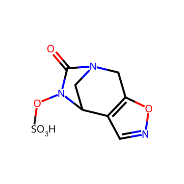 O=C1N2Cc3oncc3C(C2)N1OS(=O)(=O)O